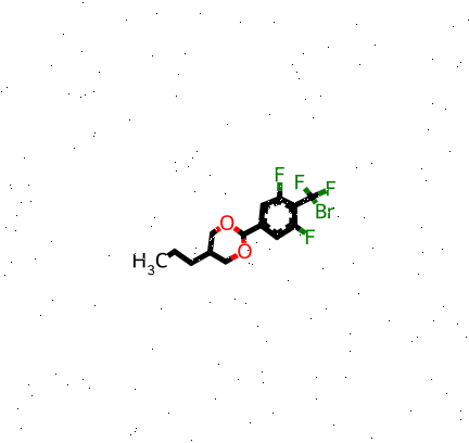 CCCC1COC(c2cc(F)c(C(F)(F)Br)c(F)c2)OC1